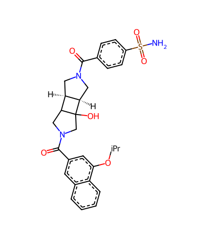 CC(C)Oc1cc(C(=O)N2CC3[C@H]4CN(C(=O)c5ccc(S(N)(=O)=O)cc5)C[C@H]4C3(O)C2)cc2ccccc12